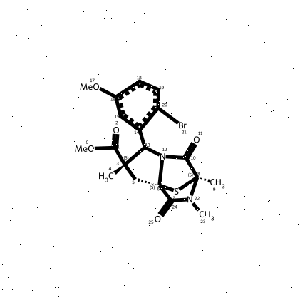 COC(=O)[C@@]1(C)C[C@@]23S[C@@](C)(C(=O)N2C1c1cc(OC)ccc1Br)N(C)C3=O